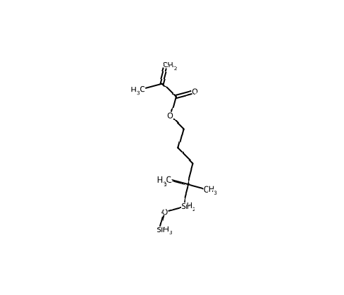 C=C(C)C(=O)OCCCC(C)(C)[SiH2]O[SiH3]